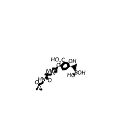 CN(C)C(=O)CNC(=O)C(C)(N)CN1CC(Oc2ccc([C@@H]3C[C@@H]3B(O)O)c(O)c2C(=O)O)C1